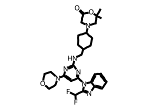 CC1(C)CN(C2CCC(CNc3nc(N4CCOCC4)cc(-n4c(C(F)F)nc5ccccc54)n3)CC2)CC(=O)O1